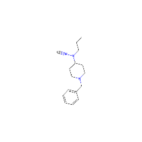 [C-]#[N+]N(CCC)C1CCN(Cc2ccccc2)CC1